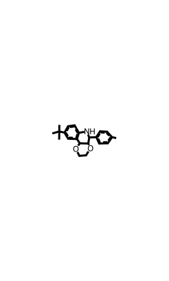 Cc1ccc(C2Nc3ccc(C(C)(C)C)cc3C3OCCOC23)cc1